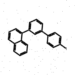 Ic1ccc(-c2cccc(-c3cccc4ccccc34)c2)cc1